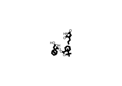 CC(C)(C)C12C=CC(CC1)CC2C(=O)O.CCCC1=CC(=O)NC1=O.O=C(O)C1(CCO)CC2C=CC1CC2